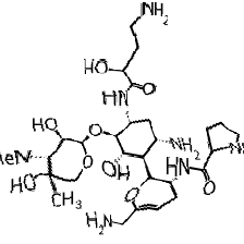 CN[C@@H]1[C@@H](O)[C@@H](O[C@@H]2[C@@H](O)[C@H](C3OC(CN)=CC[C@H]3NC(=O)C3CCCN3)[C@@H](N)C[C@H]2NC(=O)[C@@H](O)CCN)OC[C@]1(C)O